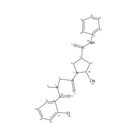 CN(CC(=O)N1CC(C(=O)Nc2ccccc2)CC1C#N)C(=O)c1ccccc1Cl